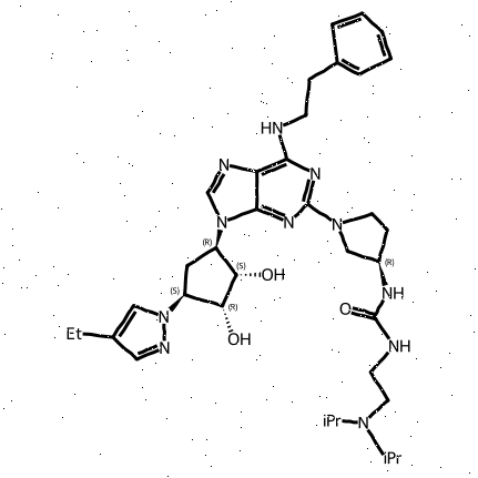 CCc1cnn([C@H]2C[C@@H](n3cnc4c(NCCc5ccccc5)nc(N5CC[C@@H](NC(=O)NCCN(C(C)C)C(C)C)C5)nc43)[C@H](O)[C@@H]2O)c1